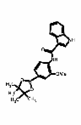 COc1cc(B2OC(C)(C)C(C)(C)O2)ccc1NC(=O)c1c[nH]c2ccccc12